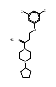 Cl.O=C(CCOc1cc(Cl)cc(Cl)c1)N1CCN(C2CCCC2)CC1